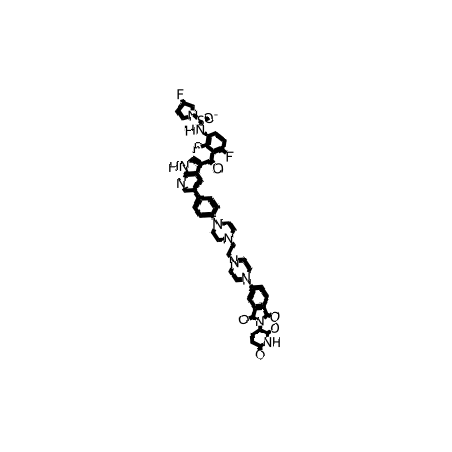 O=C1CCC(N2C(=O)c3ccc(N4CCN(CCN5CCN(c6ccc(-c7cnc8[nH]cc(C(=O)c9c(F)ccc(N[S+]([O-])N%10CCC(F)C%10)c9F)c8c7)cc6)CC5)CC4)cc3C2=O)C(=O)N1